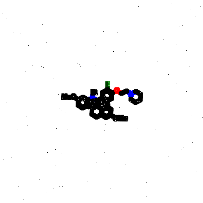 CCN(Cc1ccc(OCCN2CCCCC2)c(F)c1)c1cc(OC)ccc1C1CCc2cc(OC)ccc2C1(C)C